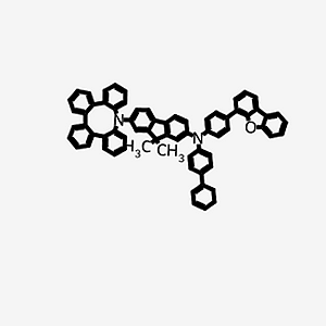 CC1(C)c2cc(N(c3ccc(C4=CC=CCC4)cc3)c3ccc(-c4cccc5c4oc4ccccc45)cc3)ccc2-c2ccc(-n3c4ccccc4c4ccccc4c4ccccc4c4ccccc43)cc21